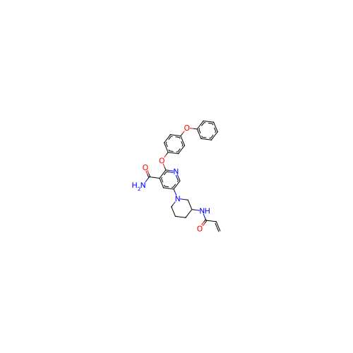 C=CC(=O)NC1CCCN(c2cnc(Oc3ccc(Oc4ccccc4)cc3)c(C(N)=O)c2)C1